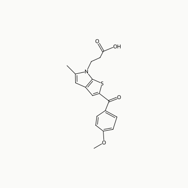 COc1ccc(C(=O)c2cc3cc(C)n(CCC(=O)O)c3s2)cc1